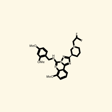 COc1ccc(CNc2nc3c(OC)cccc3c3nc([C@@H]4CCCN(CC(F)F)C4)nn23)c(OC)c1